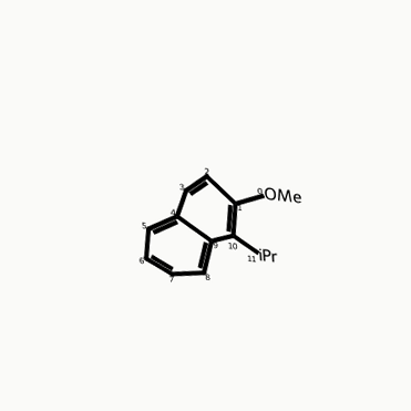 COc1ccc2ccccc2c1C(C)C